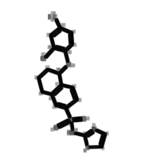 O=S(=O)(Nc1nccs1)c1ccc2c(c1)CCCC2Oc1ccc(C(F)(F)F)cc1Cl